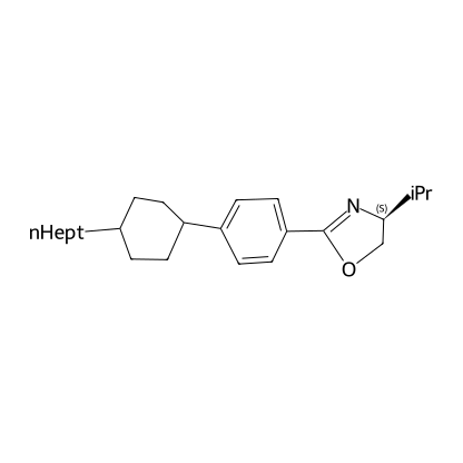 CCCCCCCC1CCC(c2ccc(C3=N[C@@H](C(C)C)CO3)cc2)CC1